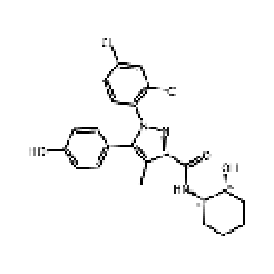 Cc1c(C(=O)N[C@@H]2CCCC[C@@H]2O)nn(-c2ccc(Cl)cc2Cl)c1-c1ccc(O)cc1